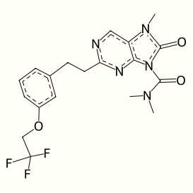 CN(C)C(=O)n1c(=O)n(C)c2cnc(CCc3cccc(OCC(F)(F)F)c3)nc21